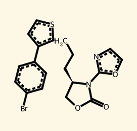 Brc1ccc(-c2ccsc2)cc1.CCC[C@@H]1COC(=O)N1c1ncco1